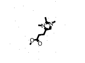 COC(=O)CCc1cn(C)c(C)[n+]1C